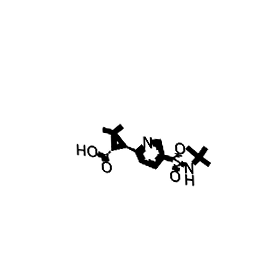 CC(C)(C)NS(=O)(=O)c1ccc([C@H]2[C@H](C(=O)O)C2(C)C)nc1